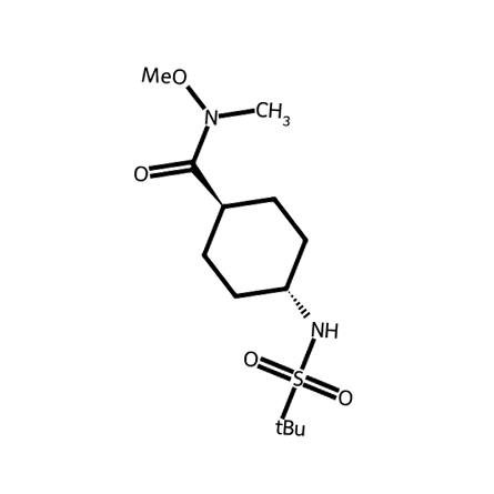 CON(C)C(=O)[C@H]1CC[C@H](NS(=O)(=O)C(C)(C)C)CC1